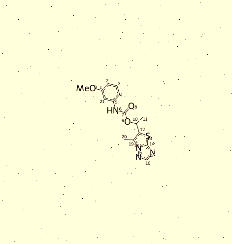 COc1cccc(NC(=O)OC(C)c2sc3ncnn3c2C)c1